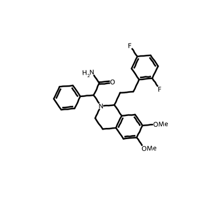 COc1cc2c(cc1OC)C(CCc1cc(F)ccc1F)N(C(C(N)=O)c1ccccc1)CC2